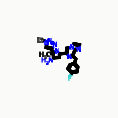 CCn1cc(C2(C)N=C(c3cn4ccnc4c(Cc4ccc(F)cc4)n3)C=C2N)nn1